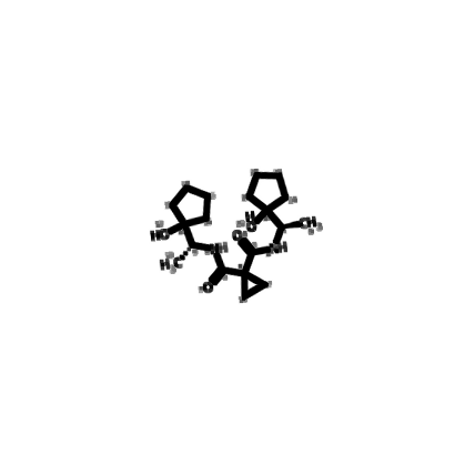 C[C@@H](NC(=O)C1(C(=O)N[C@H](C)C2(O)CCCC2)CC1)C1(O)CCCC1